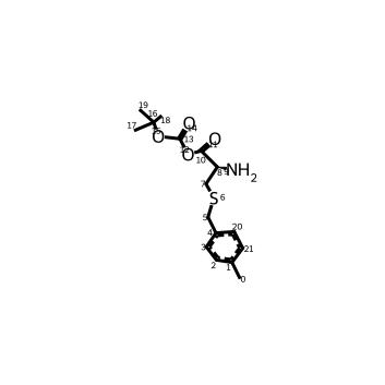 Cc1ccc(CSC[C@H](N)C(=O)OC(=O)OC(C)(C)C)cc1